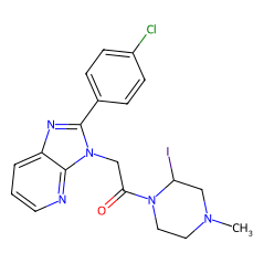 CN1CCN(C(=O)Cn2c(-c3ccc(Cl)cc3)nc3cccnc32)C(I)C1